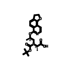 C[C@H](CN(C(=O)OC(C)(C)C)[C@@H](C)C(=O)O)Oc1nccc2c3c(ccc12)CCO3